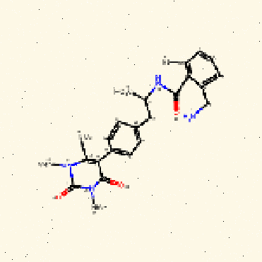 CCc1cccc(CN)c1C(=O)N[C@@H](Cc1ccc(-c2c(NC)n(NC)c(=O)n(NC)c2=O)cc1)C(=O)O